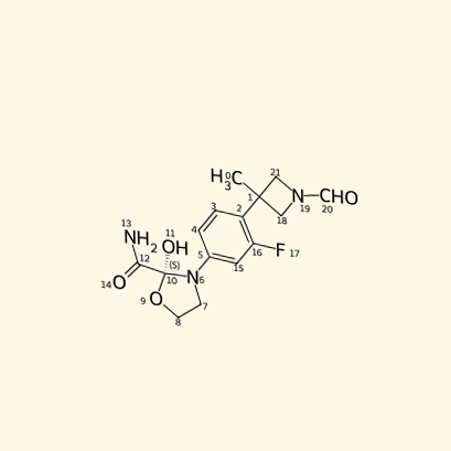 CC1(c2ccc(N3CCO[C@@]3(O)C(N)=O)cc2F)CN(C=O)C1